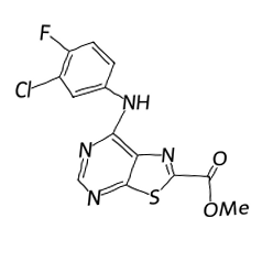 COC(=O)c1nc2c(Nc3ccc(F)c(Cl)c3)ncnc2s1